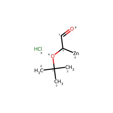 CC(C)(C)O[CH]([Zn])C=O.Cl